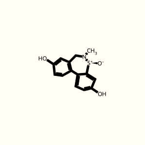 CN1Cc2cc(O)ccc2-c2ccc(O)cc2[S@+]1[O-]